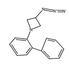 [N-]=[N+]=NC1CN(c2ccccc2-c2ccccc2)C1